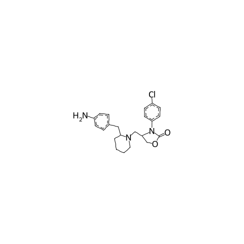 Nc1ccc(CC2CCCCN2CC2COC(=O)N2c2ccc(Cl)cc2)cc1